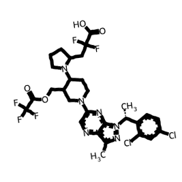 Cc1nn([C@H](C)c2ccc(Cl)cc2Cl)c2nc(N3CCC(N4CCCC4CC(F)(F)C(=O)O)C(COC(=O)C(F)(F)F)C3)cnc12